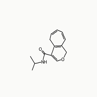 CC(C)NC(=O)C1=COCC2=C1CC=CC=C2